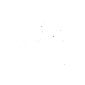 CN1CCc2ccc(Nc3ncc4c(=O)n5n(c4n3)-c3ccc4c(n3)N(CC(C)(C)C/C=C\C5)C(=O)CO4)cc2C1(C)C